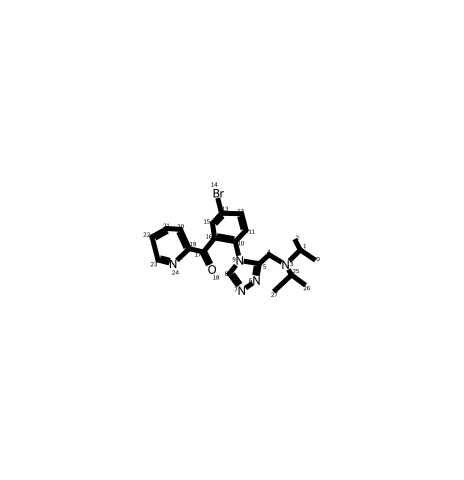 CC(C)N(Cc1nncn1-c1ccc(Br)cc1C(=O)c1ccccn1)C(C)C